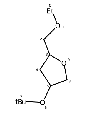 CCOCC1CC(OC(C)(C)C)CO1